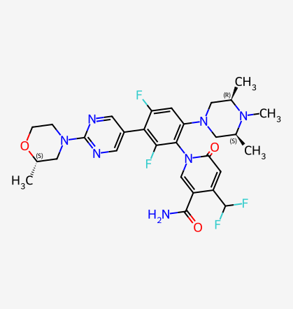 C[C@@H]1CN(c2cc(F)c(-c3cnc(N4CCO[C@@H](C)C4)nc3)c(F)c2-n2cc(C(N)=O)c(C(F)F)cc2=O)C[C@H](C)N1C